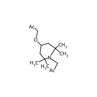 CC(=O)COC1CC(C)(C)N(CC(C)=O)C(C)(C)C1